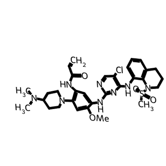 C=CC(=O)Nc1cc(Nc2ncc(Cl)c(Nc3cccc4c3N(S(C)(=O)=O)CCC4)n2)c(OC)cc1N1CCC(N(C)C)CC1